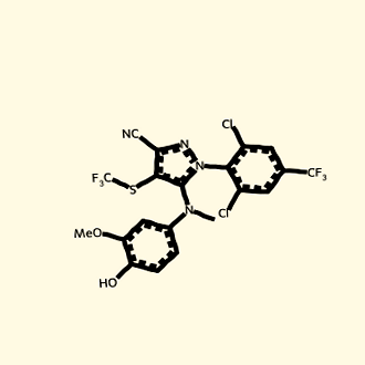 COc1cc(N(C)c2c(SC(F)(F)F)c(C#N)nn2-c2c(Cl)cc(C(F)(F)F)cc2Cl)ccc1O